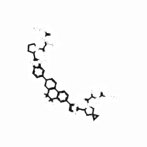 COC(=O)NC(C(=O)N1CC2(CC2)CC1c1ncc(-c2ccc3c(c2)C(F)(F)C(F)(F)C2=C3C=CC(c3ccc4nc(C5CCCN5C(=O)[C@@H](NC(=O)OC)C(C)C)[nH]c4c3)C2)[nH]1)C(C)C